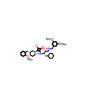 CCCCOc1ccccc1C[C@H]1CCCN(c2c(N[C@@H](CC3CCCCC3)[C@H](O)CNCc3cc(OC)cc(OC)c3)c(=O)c2=O)C1